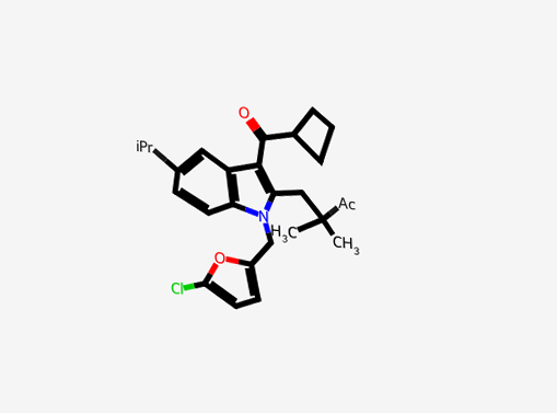 CC(=O)C(C)(C)Cc1c(C(=O)C2CCC2)c2cc(C(C)C)ccc2n1Cc1ccc(Cl)o1